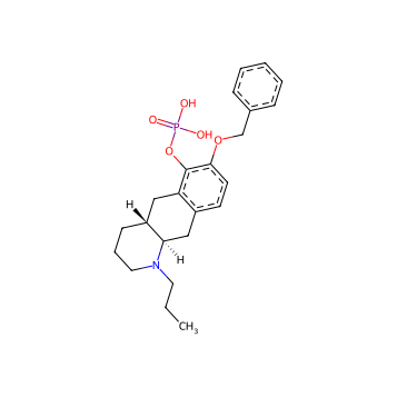 CCCN1CCC[C@@H]2Cc3c(ccc(OCc4ccccc4)c3OP(=O)(O)O)C[C@H]21